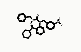 O=C1N(Cc2ccccc2)N=C(C2CCCCC2)c2ccccc2N1Cc1cccc([N+](=O)[O-])c1